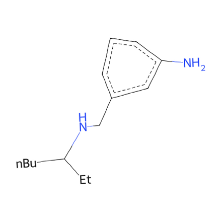 CCCCC(CC)NCc1cccc(N)c1